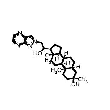 C[C@@]1(O)CC[C@@]2(C)[C@@H](CC[C@@H]3[C@@H]2CC[C@]2(C)[C@@H](C(O)Cn4cc5nccnc5n4)CC[C@@H]32)C1